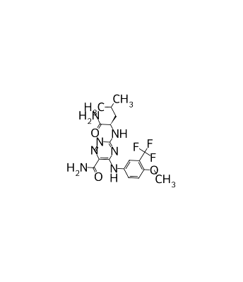 COc1ccc(Nc2nc(N[C@H](CC(C)C)C(N)=O)nnc2C(N)=O)cc1C(F)(F)F